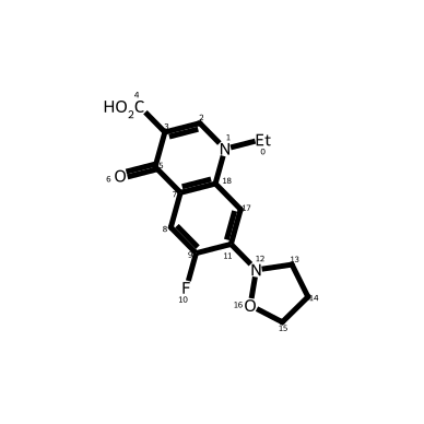 CCn1cc(C(=O)O)c(=O)c2cc(F)c(N3CCCO3)cc21